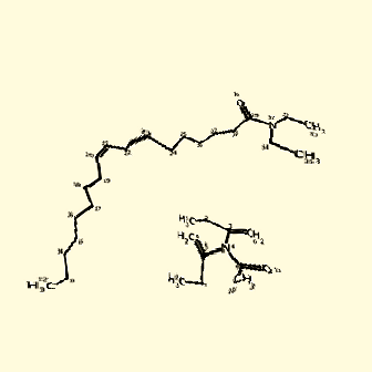 C=C(CC)N(C(=C)CC)C(C)=O.CCCCCCCC/C=C\CCCCCCCC(=O)N(CC)CC